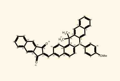 COc1ccc(N2c3cc4ccccc4cc3C(C)(C)c3c2ccc2cc(C=C4C(=O)c5cc6ccccc6cc5C4=O)ccc32)cc1